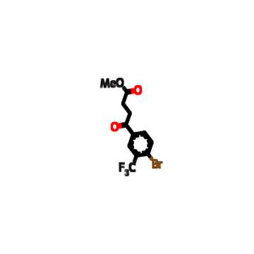 COC(=O)CCC(=O)c1ccc(Br)c(C(F)(F)F)c1